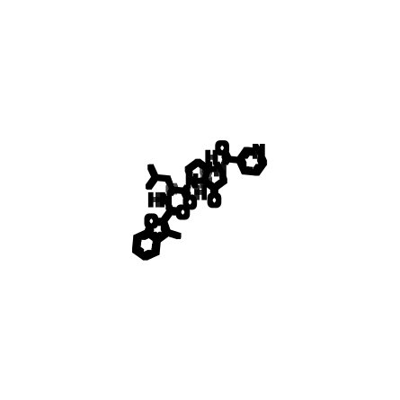 Cc1c(C(=O)N[C@@H](CC(C)C)C(=O)N2CC[C@@H]3[C@H]2C(=O)CN3C(=O)c2cccnc2)oc2ccccc12